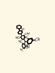 N#Cc1cc(C#N)c(C(c2cc(C#N)c(-c3ccc4c(c3)oc3ccccc34)c(C#N)c2)c2c(C#N)cc(C#N)cc2C#N)c(C#N)c1